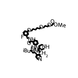 C=C(N/C(=C\C(CC)C(C)CC)c1ccncc1)C1(Nc2cccc(C(=O)NCc3cc(OCCCCCOCCCOCC(=O)OC)ccc3F)c2)CCNCC1